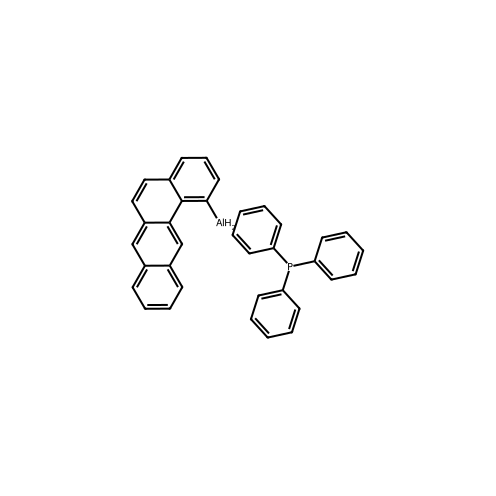 [AlH2][c]1cccc2ccc3cc4ccccc4cc3c12.c1ccc(P(c2ccccc2)c2ccccc2)cc1